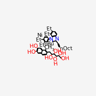 CCCCCCCCC#CC(=Nc1ccc(CC)c(CC)c1)C(CCCC)=Nc1ccc(CC)c(CC)c1.Cc1c(CC(O)C(O)C(O)C(O)CO)ccc2cc(O)c(O)cc12.[Ni]